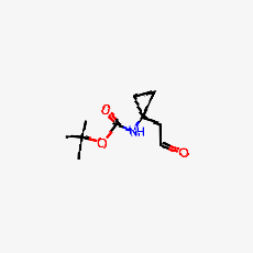 CC(C)(C)OC(=O)NC1(CC=O)CC1